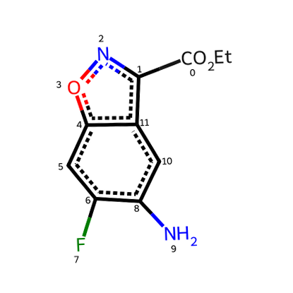 CCOC(=O)c1noc2cc(F)c(N)cc12